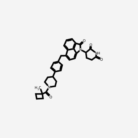 CC1(C(=O)N2CCC(c3ccc(Cc4ccc5c6c(cccc46)C(=O)N5C4CCC(=O)NC4=O)cc3)CC2)CCC1